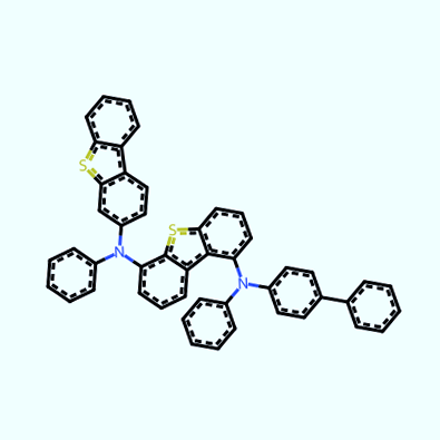 c1ccc(-c2ccc(N(c3ccccc3)c3cccc4sc5c(N(c6ccccc6)c6ccc7c(c6)sc6ccccc67)cccc5c34)cc2)cc1